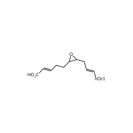 CCCCCCCCC=CCC1OC1CCC=CC(=O)O